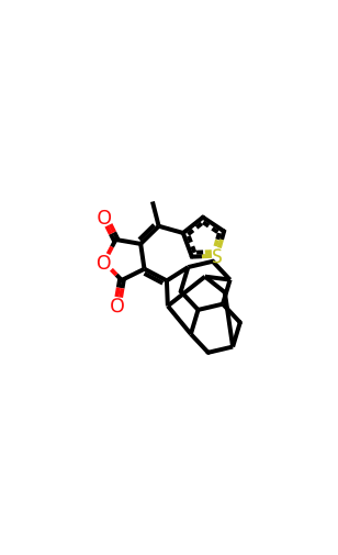 C/C(=C1\C(=O)OC(=O)\C1=C1\C2CC3C4CC5CC3C1C(C5)C4C2)c1ccsc1